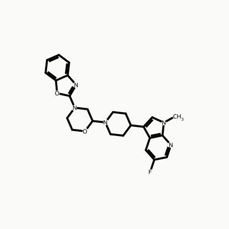 Cn1cc(C2CCN(C3CN(c4nc5ccccc5o4)CCO3)CC2)c2cc(F)cnc21